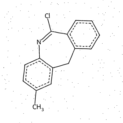 Cc1ccc2c(c1)Cc1ccccc1C(Cl)=N2